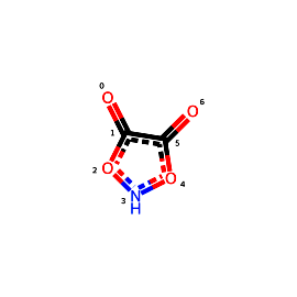 O=c1o[nH]oc1=O